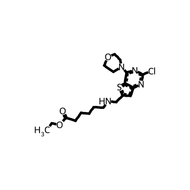 CCOC(=O)CCCCCNCc1cc2nc(Cl)nc(N3CCOCC3)c2s1